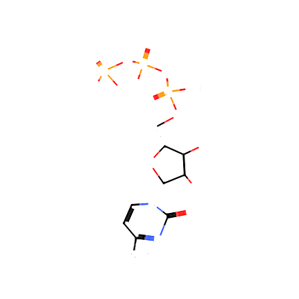 CC(=O)Nc1ccn([C@@H]2O[C@H](COP(=O)(O)OP(=O)(O)OP(=O)(O)O)C(O)C2O)c(=O)n1